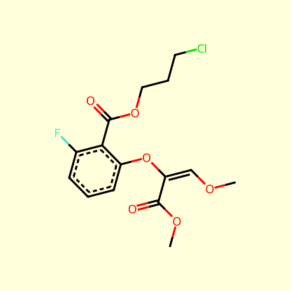 COC=C(Oc1cccc(F)c1C(=O)OCCCCl)C(=O)OC